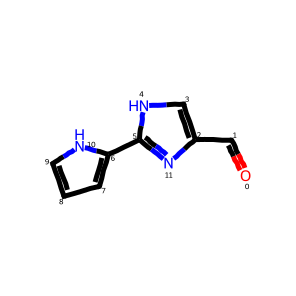 O=Cc1c[nH]c(-c2ccc[nH]2)n1